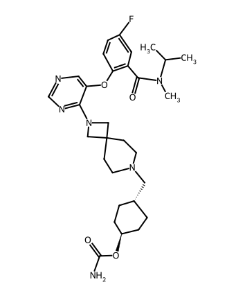 CC(C)N(C)C(=O)c1cc(F)ccc1Oc1cncnc1N1CC2(CCN(C[C@H]3CC[C@H](OC(N)=O)CC3)CC2)C1